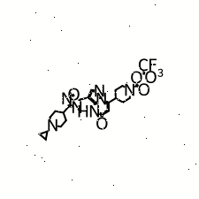 O=C(OC(=O)C(F)(F)F)N1CCC(c2cc(=O)[nH]c3c(-c4nc(C5CCN(C6CC6)CC5)no4)cnn23)CC1